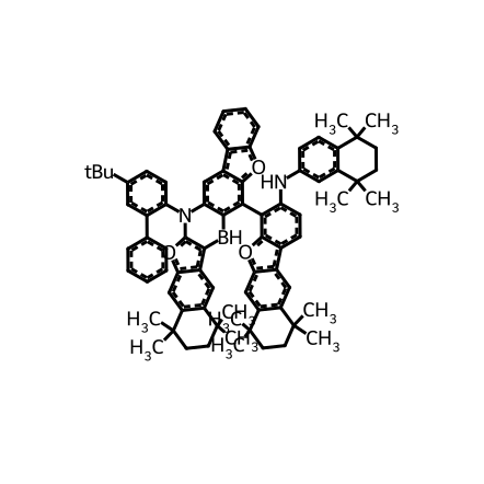 CC(C)(C)c1ccc(N2c3cc4c(oc5ccccc54)c(-c4c(Nc5ccc6c(c5)C(C)(C)CCC6(C)C)ccc5c4oc4cc6c(cc45)C(C)(C)CCC6(C)C)c3Bc3c2oc2cc4c(cc32)C(C)(C)CCC4(C)C)c(-c2ccccc2)c1